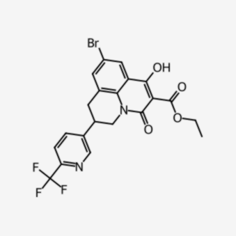 CCOC(=O)c1c(O)c2cc(Br)cc3c2n(c1=O)CC(c1ccc(C(F)(F)F)nc1)C3